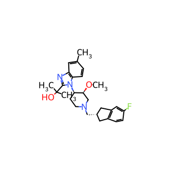 CO[C@H]1CN(C[C@H]2Cc3ccc(F)cc3C2)CC[C@H]1n1c(C(C)(C)O)nc2cc(C)ccc21